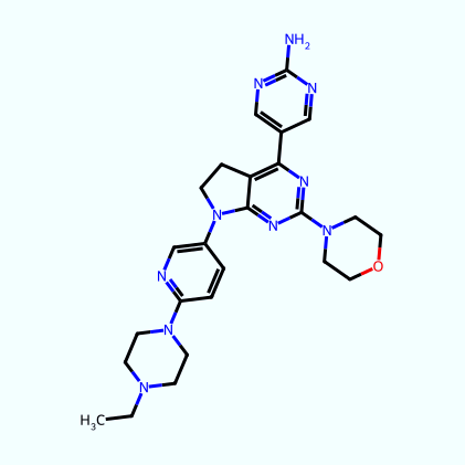 CCN1CCN(c2ccc(N3CCc4c(-c5cnc(N)nc5)nc(N5CCOCC5)nc43)cn2)CC1